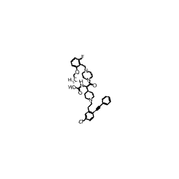 CCOc1cccc(F)c1CN1CCN(C(=O)C(NC(=O)O)C2CCN(CCc3cc(Cl)ccc3C#Cc3ccccc3)CC2)CC1